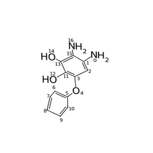 Nc1cc(Oc2ccccc2)c(O)c(O)c1N